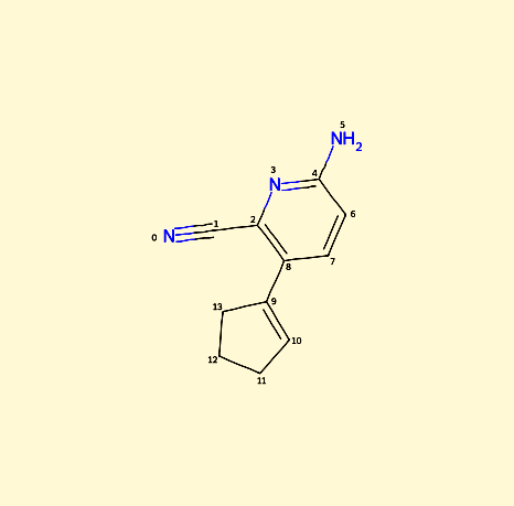 N#Cc1nc(N)ccc1C1=CCCC1